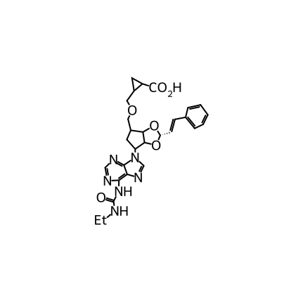 CCNC(=O)Nc1ncnc2c1ncn2C1CC(COCC2CC2C(=O)O)C2O[C@H](/C=C/c3ccccc3)OC21